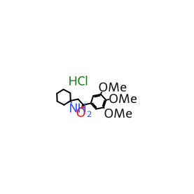 COc1cc(C(=O)CC2(N)CCCCC2)cc(OC)c1OC.Cl